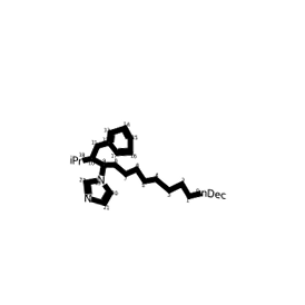 CCCCCCCCCCCCCCCCCCC(C(Cc1ccccc1)C(C)C)n1ccnc1